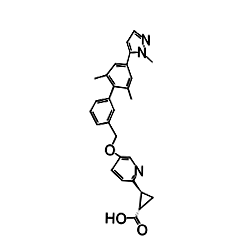 Cc1cc(-c2ccnn2C)cc(C)c1-c1cccc(COc2ccc([C@H]3C[C@@H]3C(=O)O)nc2)c1